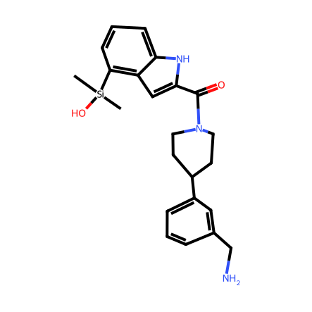 C[Si](C)(O)c1cccc2[nH]c(C(=O)N3CCC(c4cccc(CN)c4)CC3)cc12